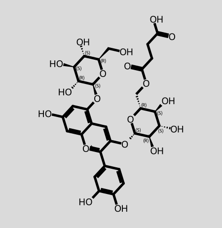 O=C(O)CCC(=O)OC[C@H]1O[C@@H](Oc2cc3c(O[C@@H]4O[C@H](CO)[C@@H](O)[C@H](O)[C@H]4O)cc(O)cc3[o+]c2-c2ccc(O)c(O)c2)[C@H](O)[C@@H](O)[C@@H]1O